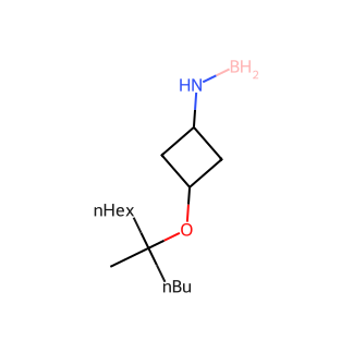 BNC1CC(OC(C)(CCCC)CCCCCC)C1